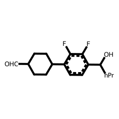 CCCC(O)c1ccc(C2CCC(C=O)CC2)c(F)c1F